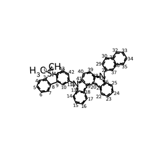 C[Si]1(C)c2ccccc2-c2cc(-n3c4ccccc4c4c5c6ccccc6n(-c6ccc7ccccc7c6)c5ccc43)ccc21